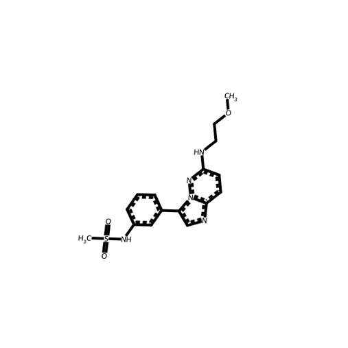 COCCNc1ccc2ncc(-c3cccc(NS(C)(=O)=O)c3)n2n1